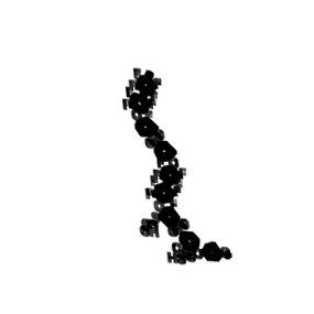 COc1ccc(Oc2ccc(S(=O)(=O)c3ccc(Oc4c(F)c(F)c(-c5c(F)c(F)c(Oc6ccc(S(=O)(=O)c7ccc(Oc8c(F)c(F)c(-c9c(F)c(F)c(C)c(F)c9F)c(F)c8F)cc7)cc6)c(F)c5F)c(F)c4F)c(SOOO)c3)cc2S(=O)(=O)O)cc1